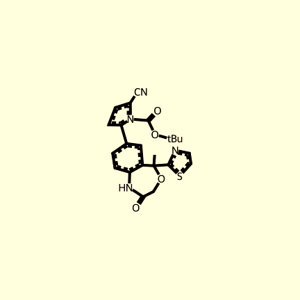 CC(C)(C)OC(=O)n1c(C#N)ccc1-c1ccc2c(c1)C(C)(c1nccs1)OCC(=O)N2